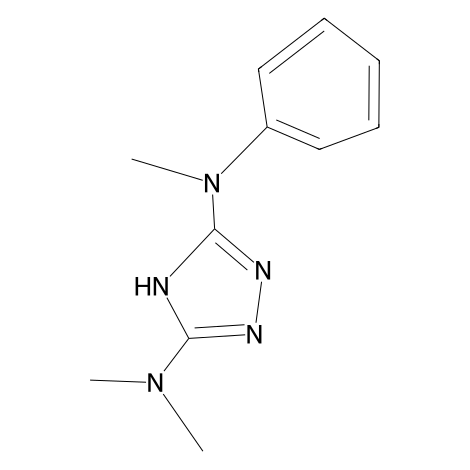 CN(C)c1nnc(N(C)c2ccccc2)[nH]1